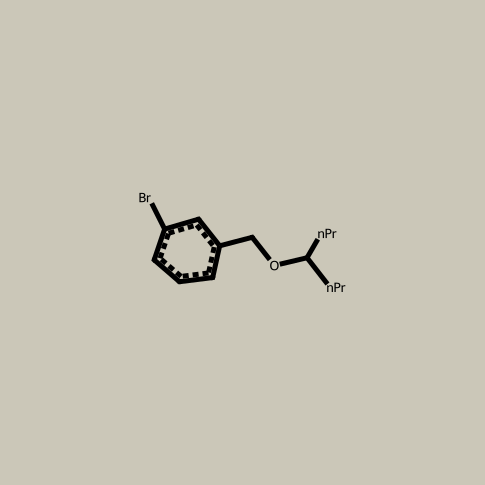 CCCC(CCC)OCc1cccc(Br)c1